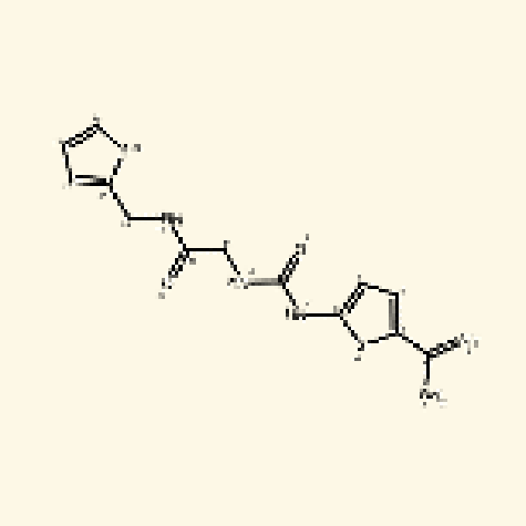 N=C(N)c1ccc(NC(=O)NCC(=O)NCc2cccs2)s1